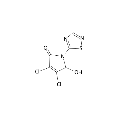 O=C1C(Cl)=C(Cl)C(O)N1c1ncns1